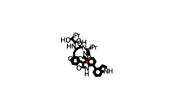 CC(C)C(O)C(=O)N[C@H]1Cc2ccc3c(c2)C2(c4cccc(-c5cccc6[nH]ccc56)c4NC2O3)c2oc(nc2C=O)[C@H](C(C)C)NC1=O